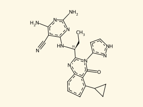 CC[C@H](Nc1nc(N)nc(N)c1C#N)c1nc2cccc(C3CC3)c2c(=O)n1-c1cc[nH]n1